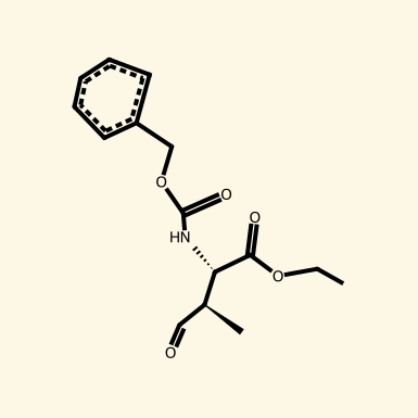 CCOC(=O)[C@@H](NC(=O)OCc1ccccc1)[C@@H](C)C=O